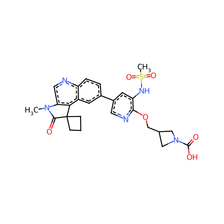 CN1C(=O)C2(CCC2)c2c1cnc1ccc(-c3cnc(OCC4CN(C(=O)O)C4)c(NS(C)(=O)=O)c3)cc21